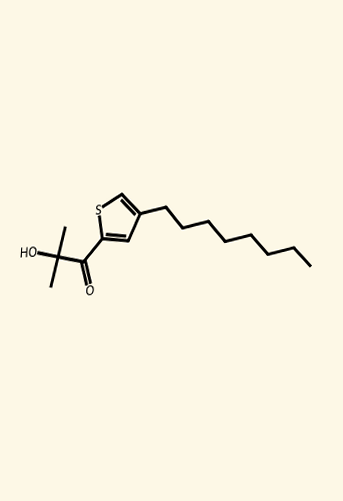 CCCCCCCCc1csc(C(=O)C(C)(C)O)c1